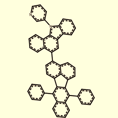 c1ccc(-c2c3c(c(-c4ccccc4)c4ccccc24)-c2ccc(-c4cc5c6ccccc6n(-c6cccnc6)c5c5ccccc45)c4cccc-3c24)cc1